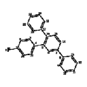 Fc1ccc(-c2cc(-c3ccccc3)ccc2-c2ccccc2)cc1